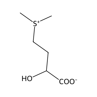 C[S+](C)CCC(O)C(=O)[O-]